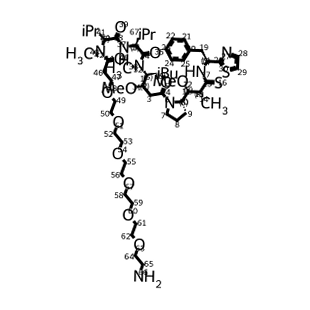 CC[C@H](C)[C@@H]([C@@H](CC(=O)N1CCC[C@H]1[C@H](OC)[C@@H](C)C(=S)N[C@@H](Cc1ccccc1)c1nccs1)OC)N(C)C(=O)[C@@H](NC(=O)[C@H](C(C)C)N(C)C(=O)CCOCCOCCOCCOCCOCCOCCN)C(C)C